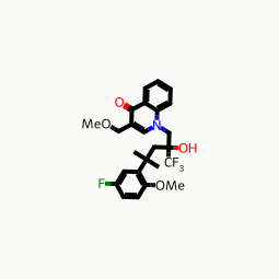 COCc1cn(CC(O)(CC(C)(C)c2cc(F)ccc2OC)C(F)(F)F)c2ccccc2c1=O